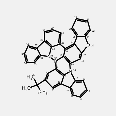 CC(C)(C)c1cc2c3c(c1)c1ccccc1n3-c1cc3oc4ccccc4c3c3c1B2n1c2ccccc2c2cccc-3c21